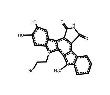 Cn1c2ccccc2c2c3c(c4c5cc(O)c(O)cc5n(CCC#N)c4c21)C(=O)NC3=O